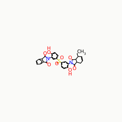 CCC1C=CCC2C(=O)N(c3cc(S(=O)(=O)c4ccc(O)c(N5C(=O)C6C7C=CC(C7)C6C5=O)c4)ccc3O)C(=O)C12